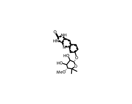 CO[C@@H]1C(O)C(O)[C@H](Oc2ccc3cc4[nH]c(=O)[nH]c4nc3c2)OC1(C)C